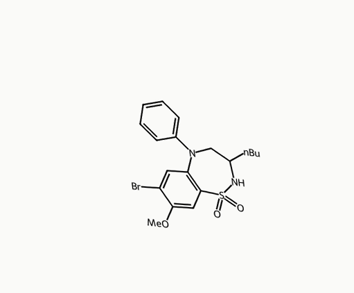 CCCCC1CN(c2ccccc2)c2cc(Br)c(OC)cc2S(=O)(=O)N1